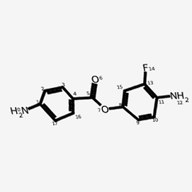 Nc1ccc(C(=O)Oc2ccc(N)c(F)c2)cc1